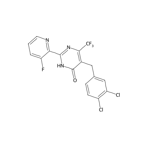 O=c1[nH]c(-c2ncccc2F)nc(C(F)(F)F)c1Cc1ccc(Cl)c(Cl)c1